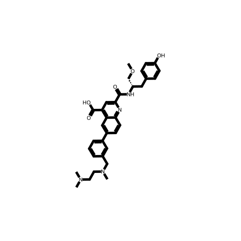 COC[C@H](Cc1ccc(O)cc1)NC(=O)c1cc(C(=O)O)c2cc(-c3cccc(CN(C)CCN(C)C)c3)ccc2n1